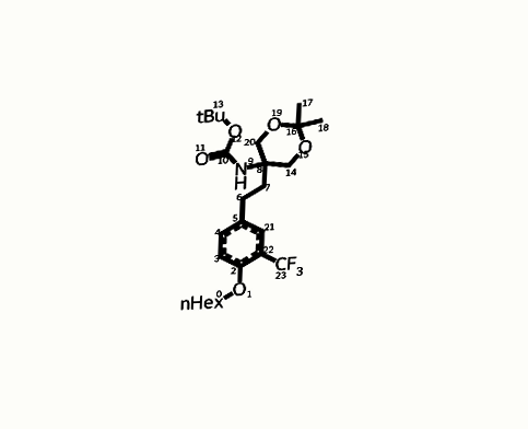 CCCCCCOc1ccc(CCC2(NC(=O)OC(C)(C)C)COC(C)(C)OC2)cc1C(F)(F)F